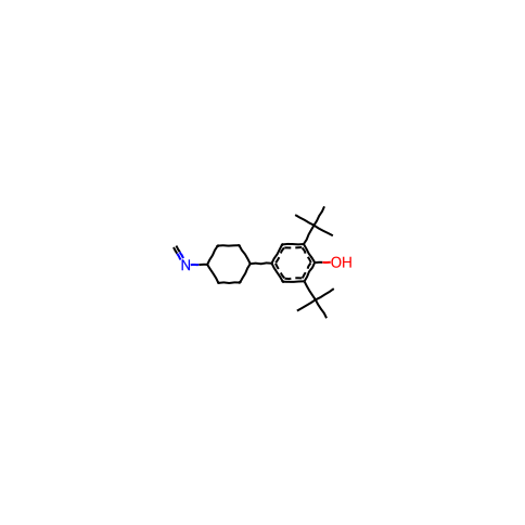 C=NC1CCC(c2cc(C(C)(C)C)c(O)c(C(C)(C)C)c2)CC1